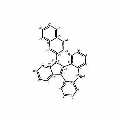 c1ccc2c(c1)Nc1ccccc1-c1c-2c2ccccc2n1-c1ccc2ccccc2c1